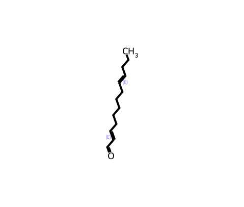 CCC/C=C/CCCCC/C=C/C=O